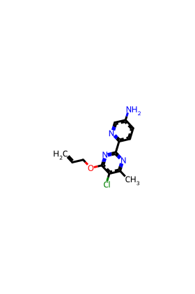 C=CCOc1nc(-c2ccc(N)cn2)nc(C)c1Cl